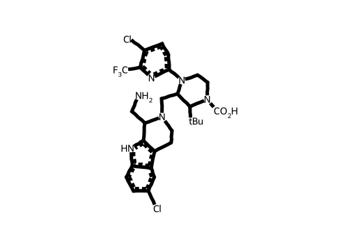 CC(C)(C)C1C(CN2CCc3c([nH]c4ccc(Cl)cc34)C2CN)N(c2ccc(Cl)c(C(F)(F)F)n2)CCN1C(=O)O